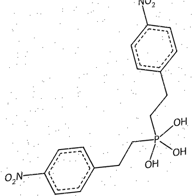 O=[N+]([O-])c1ccc(CCP(O)(O)(O)CCc2ccc([N+](=O)[O-])cc2)cc1